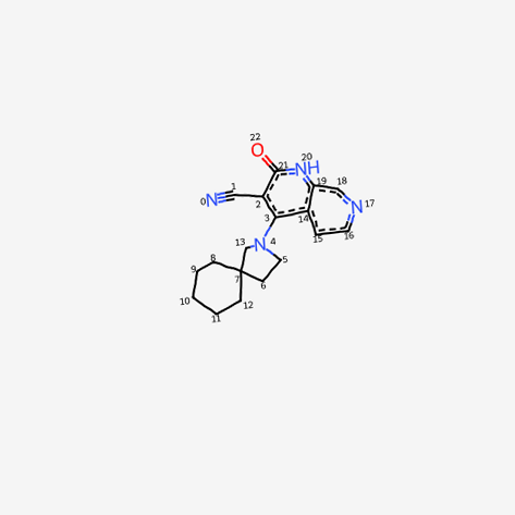 N#Cc1c(N2CCC3(CCCCC3)C2)c2ccncc2[nH]c1=O